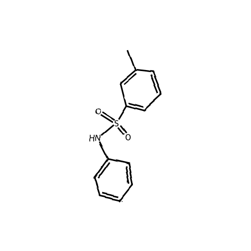 Cc1cccc(S(=O)(=O)Nc2cc[c]cc2)c1